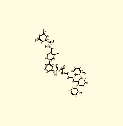 Cc1cc(-c2ncnc3[nH]c(C(=O)NCCCCN4[C@@H](c5ncccc5C)CCC[C@H]4c4ncccc4C)cc23)ccc1CNC(=O)c1cc(F)cc(F)c1